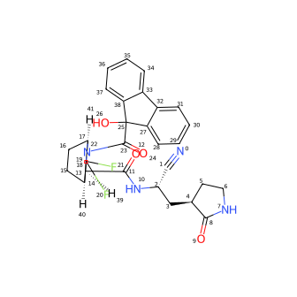 N#C[C@H](C[C@H]1CCNC1=O)NC(=O)[C@H]1[C@H]2CC[C@H](CC2(F)F)N1C(=O)C1(O)c2ccccc2-c2ccccc21